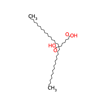 CCCCCCCCCCCCCCCCCC(CCCCCCCCCCCCCCCCC)(CCCCCC(=O)O)C(=O)O